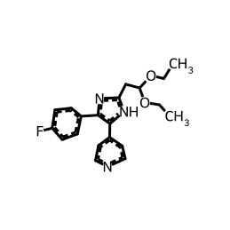 CCOC(Cc1nc(-c2ccc(F)cc2)c(-c2ccncc2)[nH]1)OCC